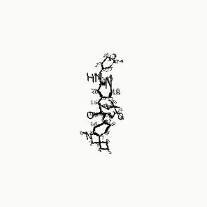 CN1CC2(CCC2)c2ccc(N3C(=O)N(Cc4ccnc(NC5CCOCC5)c4)C(C)(C)C3=O)cc21